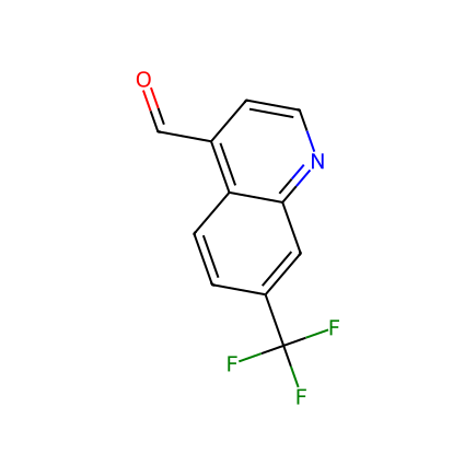 O=Cc1ccnc2cc(C(F)(F)F)ccc12